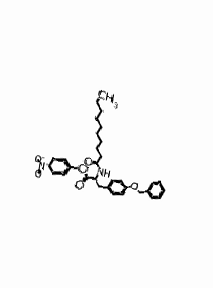 CCCCCCCCCC(=O)N[C@@H](Cc1ccc(OCc2ccccc2)cc1)C(=O)Oc1ccc([N+](=O)[O-])cc1